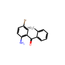 Nc1ccc(Br)cc1C(=O)c1ccccc1C(=O)O